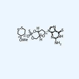 CO[C@H]1CSSC[C@@H]1O[P@]1(=S)OC[C@H]2O[C@@H](n3cnc4c(=S)[nH]c(N)nc43)C[C@@H]2O1